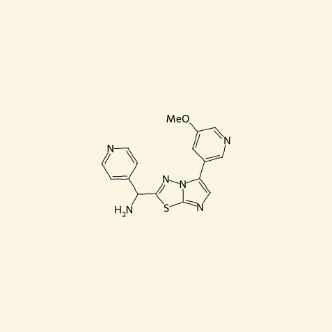 COc1cncc(-c2cnc3sc(C(N)c4ccncc4)nn23)c1